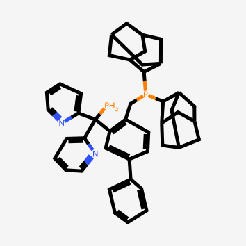 PC(c1ccccn1)(c1ccccn1)c1cc(-c2ccccc2)ccc1CP(C1C2CC3CC(C2)CC1C3)C1C2CC3CC(C2)CC1C3